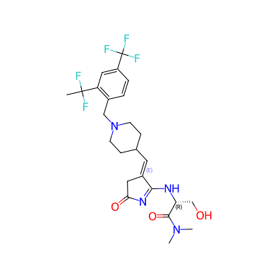 CN(C)C(=O)[C@@H](CO)NC1=NC(=O)C/C1=C\C1CCN(Cc2ccc(C(F)(F)F)cc2C(C)(F)F)CC1